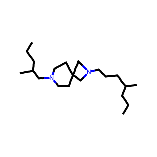 CCCC(C)CCCN1CC2(CCN(CC(C)CCC)CC2)C1